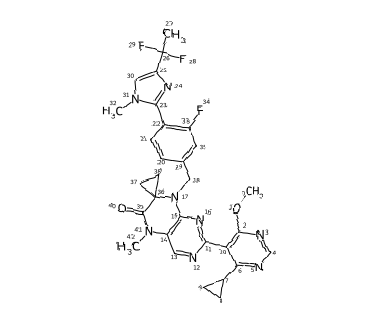 COc1ncnc(C2CC2)c1-c1ncc2c(n1)N(Cc1ccc(-c3nc(C(C)(F)F)cn3C)c(F)c1)C1(CC1)C(=O)N2C